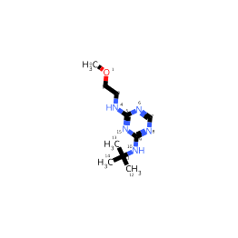 COCCNc1ncnc(NC(C)(C)C)n1